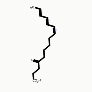 CCC/C=C/C=C/C=C\CCCCC(=O)CCC(=O)O